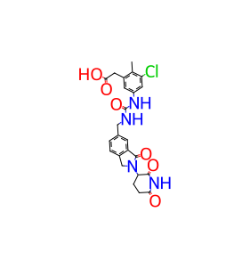 Cc1c(Cl)cc(NC(=O)NCc2ccc3c(c2)C(=O)N(C2CCC(=O)NC2=O)C3)cc1CC(=O)O